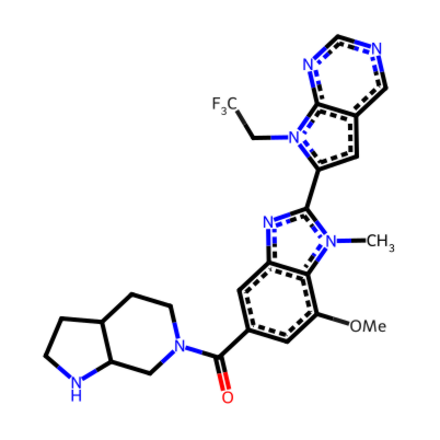 COc1cc(C(=O)N2CCC3CCNC3C2)cc2nc(-c3cc4cncnc4n3CC(F)(F)F)n(C)c12